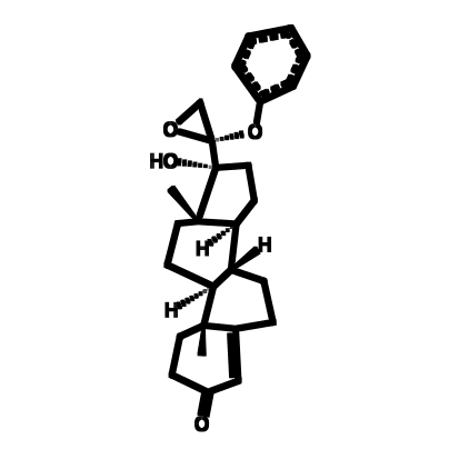 C[C@]12CCC(=O)C=C1CC[C@@H]1[C@@H]2CC[C@@]2(C)[C@H]1CC[C@]2(O)[C@]1(Oc2ccccc2)CO1